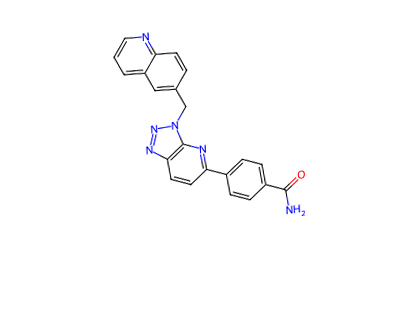 NC(=O)c1ccc(-c2ccc3nnn(Cc4ccc5ncccc5c4)c3n2)cc1